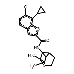 CC1(C)C(NC(=O)c2cc3ccc(Cl)c(C4CC4)c3s2)C2CCN1CC2